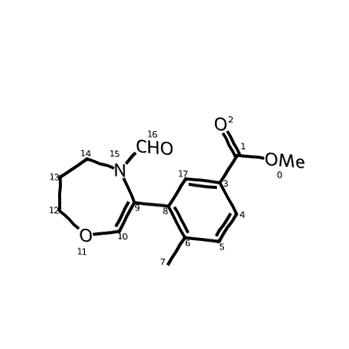 COC(=O)c1ccc(C)c(C2=COCCCN2C=O)c1